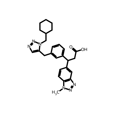 Cn1nnc2cc(C(CC(=O)O)c3cccc(Cc4cnnn4CC4CCCCC4)c3)ccc21